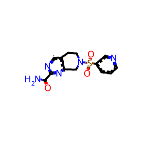 NC(=O)c1n[c]c2c(n1)CN(S(=O)(=O)c1cccnc1)CC2